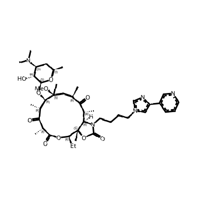 CC[C@H]1OC(=O)[C@H](C)C(=O)[C@H](C)[C@@H](O[C@@H]2O[C@H](C)C[C@H](N(C)C)[C@H]2O)[C@@](C)(OC)C[C@@H](C)C(=O)[C@H](C)[C@H]2N(CCCCn3cnc(-c4cccnc4)c3)C(=O)O[C@]12C